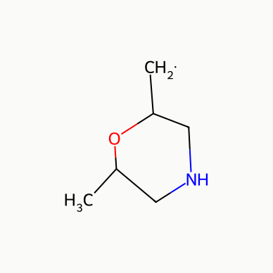 [CH2]C1CNCC(C)O1